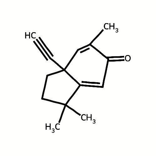 C#CC12C=C(C)C(=O)C=C1C(C)(C)CC2